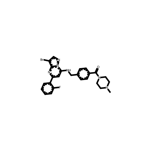 CN1CCN(C(=O)c2ccc(CNc3cc(-c4ccccc4F)nc4c(Br)cnn34)cc2)CC1